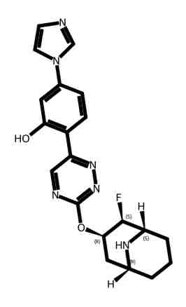 Oc1cc(-n2ccnc2)ccc1-c1cnc(O[C@@H]2C[C@H]3CCC[C@H](N3)[C@@H]2F)nn1